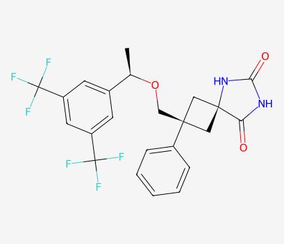 C[C@@H](OC[C@]1(c2ccccc2)C[C@@]2(C1)NC(=O)NC2=O)c1cc(C(F)(F)F)cc(C(F)(F)F)c1